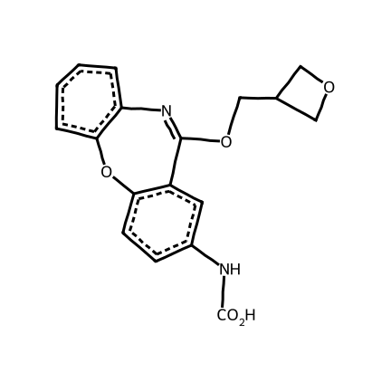 O=C(O)Nc1ccc2c(c1)C(OCC1COC1)=Nc1ccccc1O2